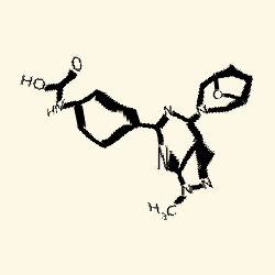 Cn1ncc2c(N3CC4CCC(C3)O4)nc(-c3ccc(NC(=O)O)cc3)nc21